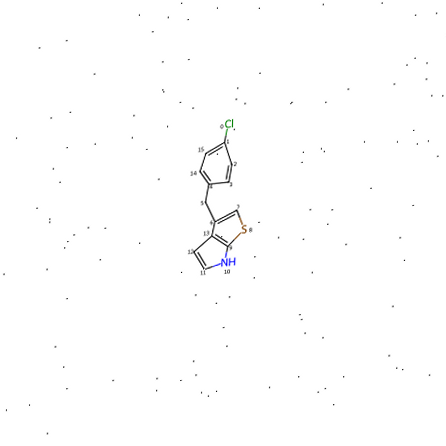 Clc1ccc(Cc2csc3[nH]ccc23)cc1